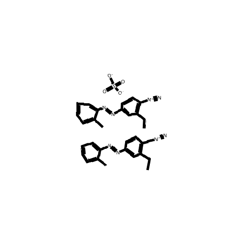 CCc1cc(/N=N/c2ccccc2C)ccc1[N+]#N.CCc1cc(/N=N/c2ccccc2C)ccc1[N+]#N.O=S(=O)([O-])[O-]